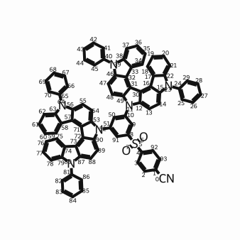 N#Cc1ccc(S(=O)(=O)c2cc(-n3c4ccc5c(c6ccccc6n5-c5ccccc5)c4c4c5c6ccccc6n(-c6ccccc6)c5ccc43)cc(-n3c4ccc5c(c6ccccc6n5-c5ccccc5)c4c4c5c6ccccc6n(-c6ccccc6)c5ccc43)c2)cc1